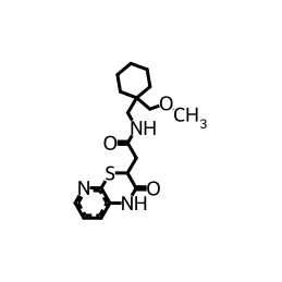 COCC1(CNC(=O)CC2Sc3ncccc3NC2=O)CCCCC1